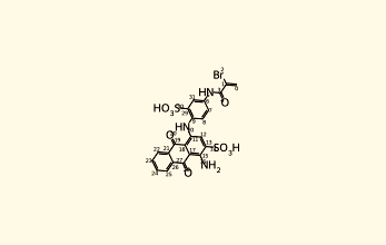 C=C(Br)C(=O)Nc1ccc(Nc2cc(S(=O)(=O)O)c(N)c3c2C(=O)c2ccccc2C3=O)c(S(=O)(=O)O)c1